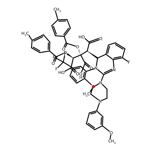 COc1cccc(N2CCN(C3=Nc4c(F)cccc4C([C@H](C(=O)O)[C@@](OC(=O)c4ccc(C)cc4)(C(=O)O)[C@H](OC(=O)c4ccc(C)cc4)C(=O)O)N3c3cc(C(F)(F)F)ccc3OC)CC2)c1